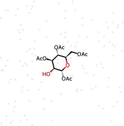 CC(=O)OC[C@H]1O[C@H](OC(C)=O)[C@@H](O)[C@@H](OC(C)=O)[C@@H]1OC(C)=O